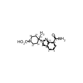 CC1(n2cc3cccc(C(N)=O)c3n2)CCN(C(=O)O)CC1